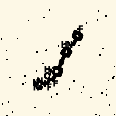 OC(C(F)c1ccc(C#Cc2ccc(NCc3ccc(F)cc3)cc2)cn1)C(F)n1cnnn1